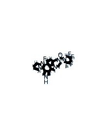 O=C(N1CCn2cc(-c3c[nH]cc3-c3cnc4ccccn34)c3cc(F)cc(c32)C1)N1CC(F)(F)CC(F)(F)C1